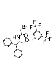 O=C(CBr)NC(COCc1cc(C(F)(F)F)cc(C(F)(F)F)c1)C(c1ccccc1)c1ccccc1